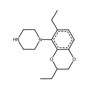 CCc1ccc2c(c1N1CCNCC1)OC(CC)CO2